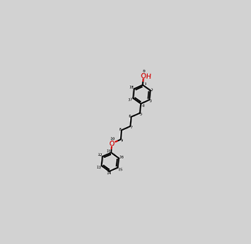 Oc1ccc(CCCCCOc2ccccc2)cc1